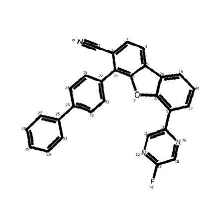 N#Cc1ccc2c(oc3c(-c4cnc(F)cn4)cccc32)c1-c1ccc(-c2ccccc2)cc1